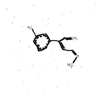 C=C/C(=C\C=N/C)c1cccc(C)c1